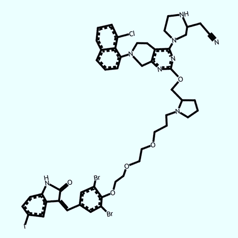 N#CCC1CN(c2nc(OCC3CCCN3CCCOCCOCCOc3c(Br)cc(C=C4C(=O)Nc5ccc(I)cc54)cc3Br)nc3c2CCN(c2cccc4cccc(Cl)c24)C3)CCN1